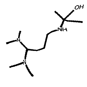 CN(C)C(CCNC(C)(C)O)N(C)C